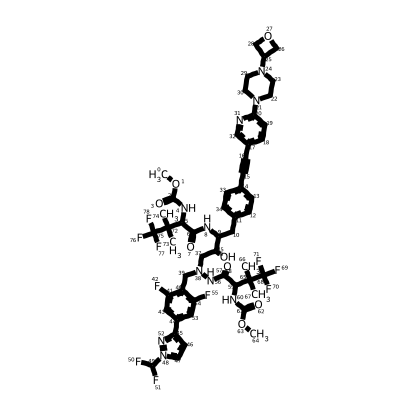 COC(=O)NC(C(=O)NC(Cc1ccc(C#Cc2ccc(N3CCN(C4COC4)CC3)nc2)cc1)C(O)CN(Cc1c(F)cc(-c2ccn(C(F)F)n2)cc1F)NC(=O)C(NC(=O)OC)C(C)(C)C(F)(F)F)C(C)(C)C(F)(F)F